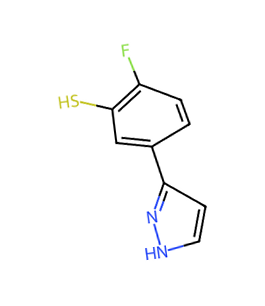 Fc1ccc(-c2cc[nH]n2)cc1S